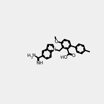 COc1ccc(-c2ccc(C)cc2)c(C(=O)O)c1Cn1ccc2cc(C(=N)N)ccc21